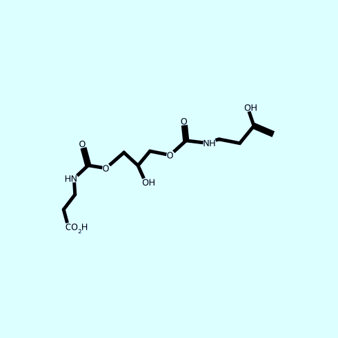 C=C(O)CCNC(=O)OCC(O)COC(=O)NCCC(=O)O